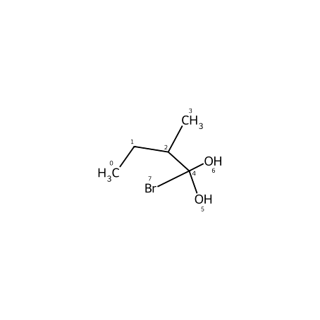 CCC(C)C(O)(O)Br